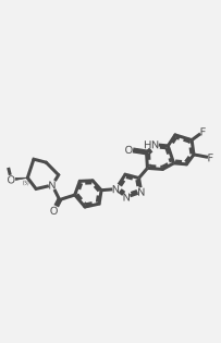 CO[C@H]1CCCN(C(=O)c2ccc(-n3cc(-c4cc5cc(F)c(F)cc5[nH]c4=O)nn3)cc2)C1